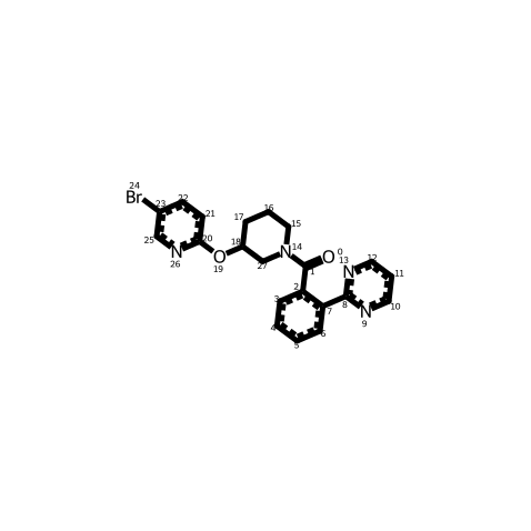 O=C(c1ccccc1-c1ncccn1)N1CCCC(Oc2ccc(Br)cn2)C1